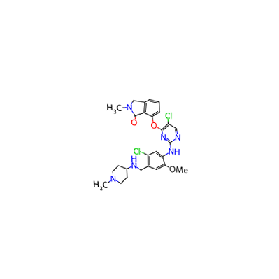 COc1cc(CNC2CCN(C)CC2)c(Cl)cc1Nc1ncc(Cl)c(Oc2cccc3c2C(=O)N(C)C3)n1